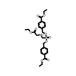 CCOC(=O)CNCP(=O)(OCc1ccc(C(=O)OCC)cc1)OCc1ccc(C(=O)OCC)cc1